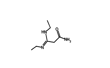 CCN=C(CC(N)=O)NCC